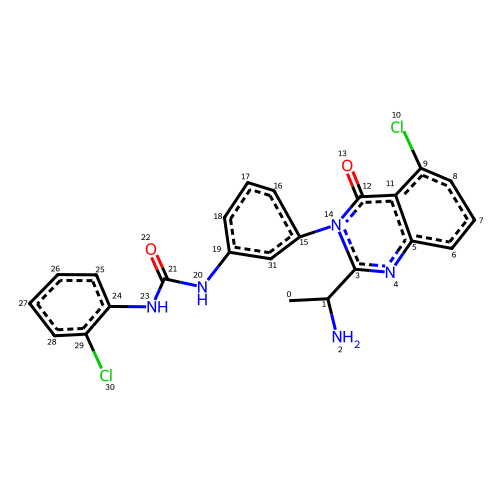 CC(N)c1nc2cccc(Cl)c2c(=O)n1-c1cccc(NC(=O)Nc2ccccc2Cl)c1